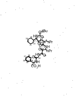 CCCC(NC(=O)[C@H](CC(C)C)NC(=O)[C@@H](NC(=O)OC(C)(C)C)C1CCCCC1)C(=O)C(=O)NCC(=O)N[C@H](C(=O)O)c1ccccc1